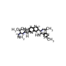 CN/C=C(\C(=N)c1cnc(C)s1)c1cnc2ccc(N/C(N)=C/C(=C\N)C(C)C)nc2c1